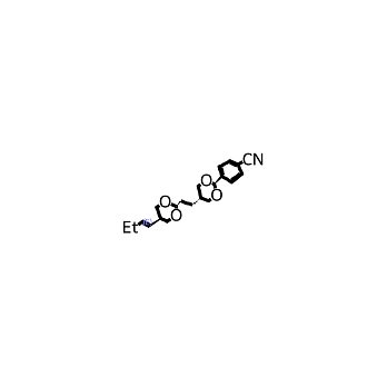 CC/C=C/[C@H]1CO[C@H](CC[C@H]2CO[C@H](c3ccc(C#N)cc3)OC2)OC1